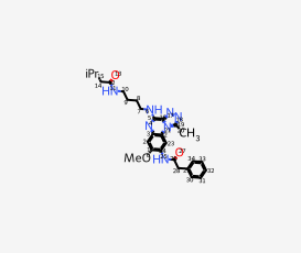 COc1cc2nc(NCCCCNC(=O)CC(C)C)c3nnc(C)n3c2cc1NC(=O)Cc1ccccc1